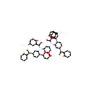 CC(C)c1cc2c3c(c1)N(c1cc(-c4csc5ccccc45)ccc1-c1ccccc1)c1c(oc4ccc(C(C)(C)C)cc14)B3c1oc3ccc(C(C)(C)C)cc3c1N2c1cc(-c2csc3ccccc23)ccc1-c1ccccc1